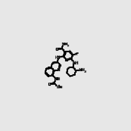 CC(C)(C)C(=O)Nc1cccc2cc(Nc3nc(NC4CCCC[C@@H]4N)c(F)cc3C(N)=O)cnc12